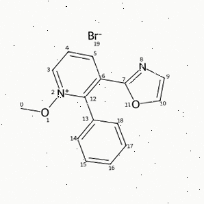 CO[n+]1cccc(-c2ncco2)c1-c1ccccc1.[Br-]